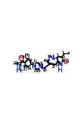 CCc1cc2ncc(CN3CCN(c4cc(Cl)c(C(=O)NC)c(Cl)c4)CC3)cc2[nH]c1=O